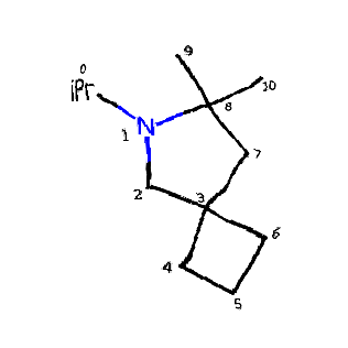 CC(C)N1CC2(CCC2)CC1(C)C